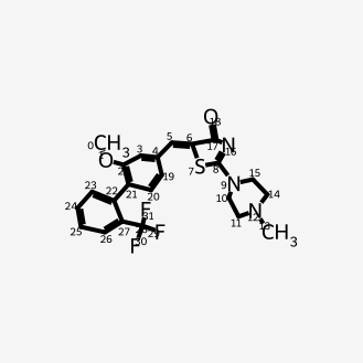 COc1cc(/C=C2\SC(N3CCN(C)CC3)=NC2=O)ccc1-c1ccccc1C(F)(F)F